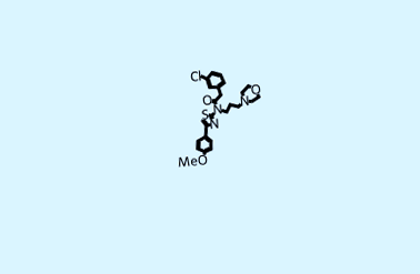 COc1ccc(-c2csc(N(CCCN3CCOCC3)C(=O)Cc3cccc(Cl)c3)n2)cc1